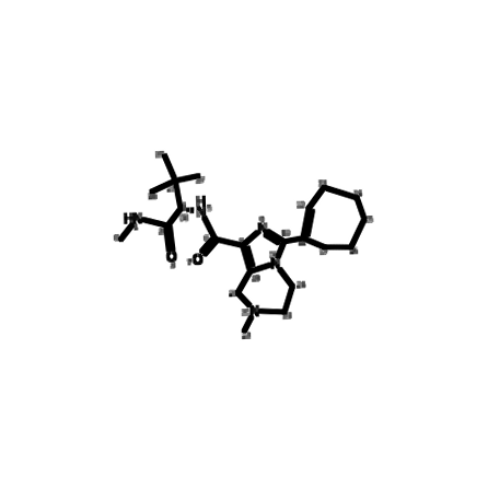 CNC(=O)[C@@H](NC(=O)c1nc(C2=CCCCCC2)n2c1CN(C)CC2)C(C)(C)C